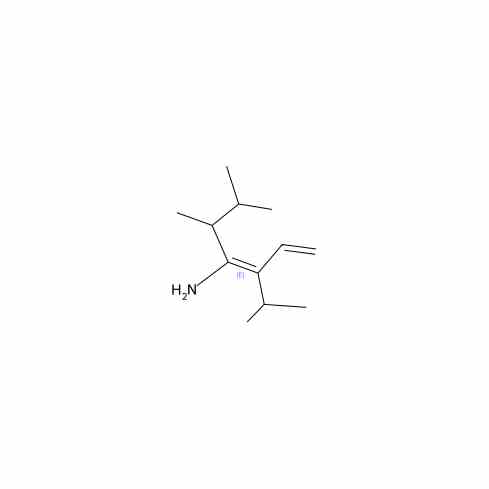 C=C/C(=C(/N)C(C)C(C)C)C(C)C